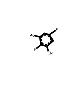 CC(=O)c1cc(F)cc(C#N)c1F